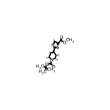 COC(=O)c1cnc(C2CCN(C(=O)OC(C)(C)C)CC2)s1